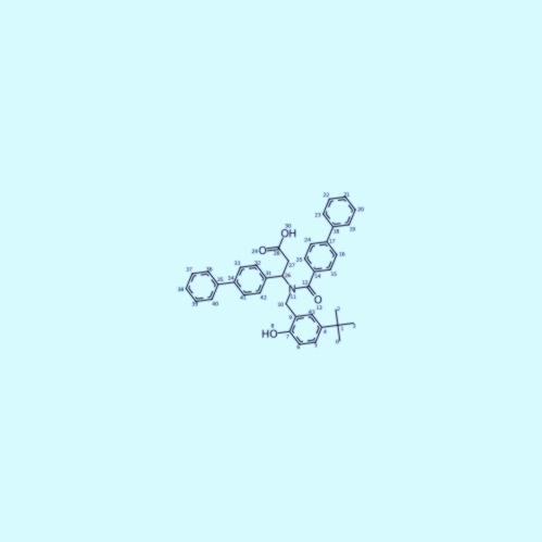 CC(C)(C)c1ccc(O)c(CN(C(=O)c2ccc(-c3ccccc3)cc2)C(CC(=O)O)c2ccc(-c3ccccc3)cc2)c1